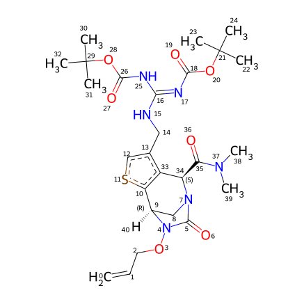 C=CCON1C(=O)N2C[C@@H]1c1scc(CNC(=NC(=O)OC(C)(C)C)NC(=O)OC(C)(C)C)c1[C@H]2C(=O)N(C)C